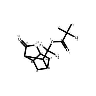 CCC(C)(C)C(=O)OC(CC)(CC)C1C2CC3OC(=O)C1C3C2